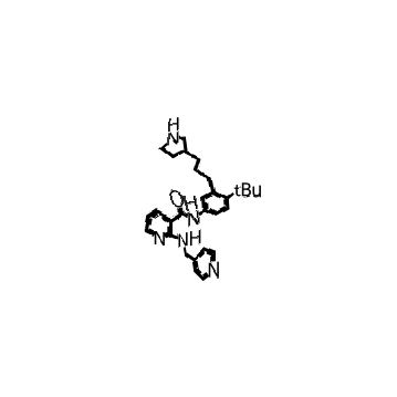 CC(C)(C)c1ccc(NC(=O)c2cccnc2NCc2ccncc2)cc1CCCC1CCNC1